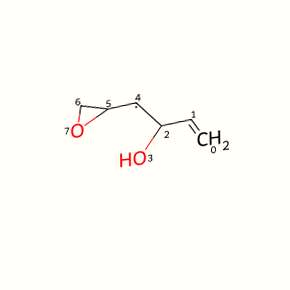 C=CC(O)[CH]C1CO1